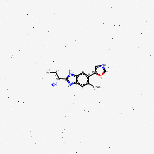 COc1cc2nc([C@H](N)CC(C)C)[nH]c2cc1-c1cnco1